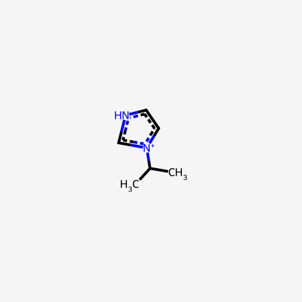 CC(C)[n+]1cc[nH]c1